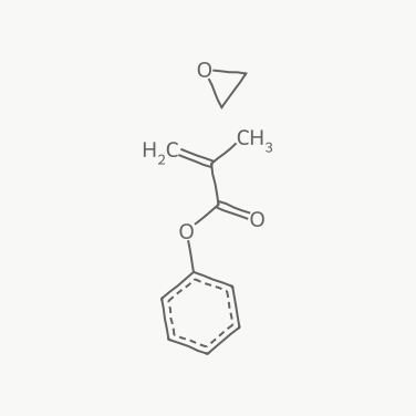 C1CO1.C=C(C)C(=O)Oc1ccccc1